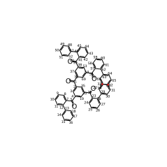 O=C(c1cc(C(=O)c2ccccc2-c2ccccc2)cc(C(=O)c2ccccc2-c2ccccc2)c1)c1cc(C(=O)c2ccccc2-c2ccccc2)cc(C(=O)c2ccccc2-c2ccccc2)c1